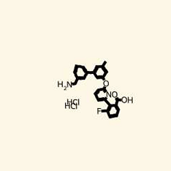 Cc1cc(Oc2cccc(-c3c(F)cccc3C(=O)O)n2)cc(-c2cccc(CN)c2)c1.Cl.Cl